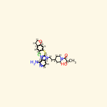 C[C@H](O)C(=O)N1CCC(CCn2c(Sc3cc4c(cc3Cl)CCO4)nc3c(N)nccc32)CC1